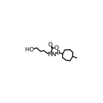 CC1CCCC(B2N[C@@H](CCCCO)C(=O)O2)CCC1